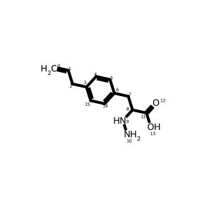 C=CCc1ccc(CC(NN)C(=O)O)cc1